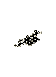 Cc1c(N2CCOC(CO)C2)nc2ccc(Br)cc2c1C(=O)NCC(CCC(=O)O)c1cc(F)ccc1Cl